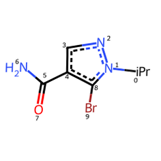 CC(C)n1ncc(C(N)=O)c1Br